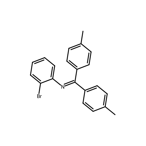 Cc1ccc(C(=Nc2ccccc2Br)c2ccc(C)cc2)cc1